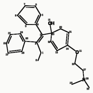 CCC(=C(c1ccccc1)C1(O)C=CC(OCCN(C)C)=CC1)c1ccccc1